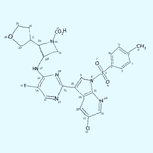 Cc1ccc(S(=O)(=O)n2cc(-c3ncc(F)c(NC4CN(C(=O)O)C4C4CCOC4)n3)c3cc(Cl)cnc32)cc1